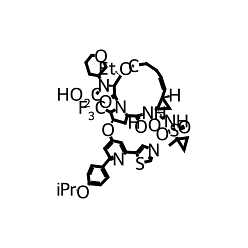 CC[C@@H]1OCCC/C=C\[C@@H]2C[C@@]2(C(=O)NS(=O)(=O)C2(C)CC2)NC(=O)[C@@H]2C[C@@H](Oc3cc(-c4ccc(OC(C)C)cc4)nc(-c4cncs4)c3)C(C(F)(F)F)N2C(=O)[C@H]1N(C(=O)O)C1CCCOC1